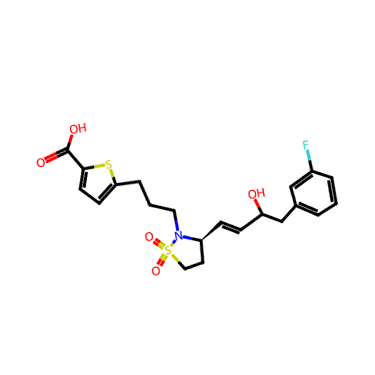 O=C(O)c1ccc(CCCN2[C@@H](/C=C/C(O)Cc3cccc(F)c3)CCS2(=O)=O)s1